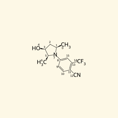 C[C@@H]1C[C@H](O)[C@H](C)N1c1ccc(C#N)c(C(F)(F)F)c1